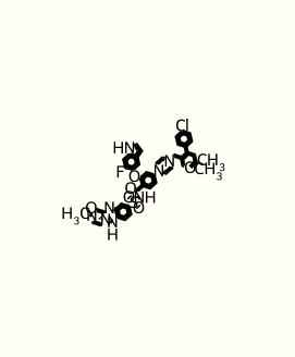 CN1CCN(Nc2ccc(S(=O)(=O)NC(=O)c3ccc(N4CCN(CC5=C(c6ccc(Cl)cc6)CC(C)(C)OC5)CC4)cc3Oc3cc4cc[nH]c4cc3F)cc2[N+](=O)[O-])CC1